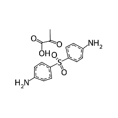 CC(=O)C(=O)O.Nc1ccc(S(=O)(=O)c2ccc(N)cc2)cc1